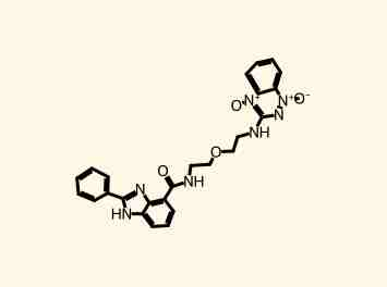 O=C(NCCOCCNc1n[n+]([O-])c2ccccc2[n+]1[O-])c1cccc2[nH]c(-c3ccccc3)nc12